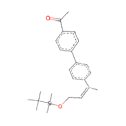 CC(=O)c1ccc(-c2ccc(/C(C)=C\CO[Si](C)(C)C(C)(C)C)cc2)cc1